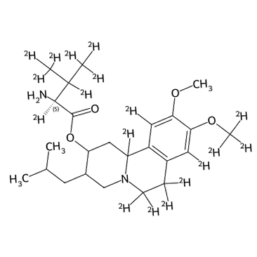 [2H]c1c(OC)c(OC([2H])([2H])[2H])c([2H])c2c1C1([2H])CC(OC(=O)[C@@]([2H])(N)C([2H])(C([2H])([2H])[2H])C([2H])([2H])[2H])C(CC(C)C)CN1C([2H])([2H])C2([2H])[2H]